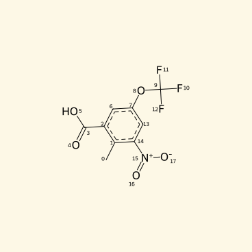 Cc1c(C(=O)O)cc(OC(F)(F)F)cc1[N+](=O)[O-]